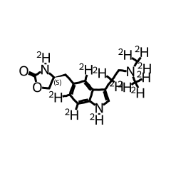 [2H]c1c(C[C@H]2COC(=O)N2[2H])c([2H])c2c(C([2H])([2H])CN(C([2H])([2H])[2H])C([2H])([2H])[2H])cn([2H])c2c1[2H]